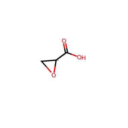 O=C(O)[C]1CO1